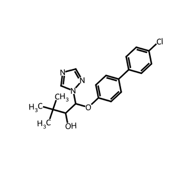 CC(C)(C)C(O)C(Oc1ccc(-c2ccc(Cl)cc2)cc1)n1cncn1